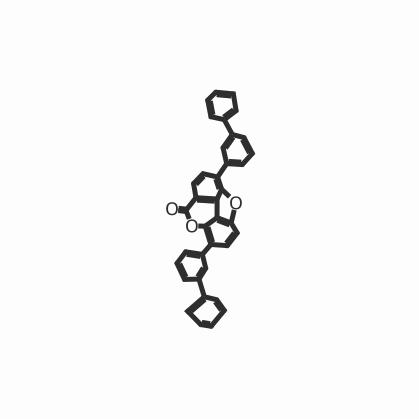 O=c1oc2c(-c3cccc(-c4ccccc4)c3)ccc3oc4c(-c5cccc(-c6ccccc6)c5)ccc1c4c32